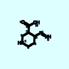 N=PC1CCNCC1C(=O)O